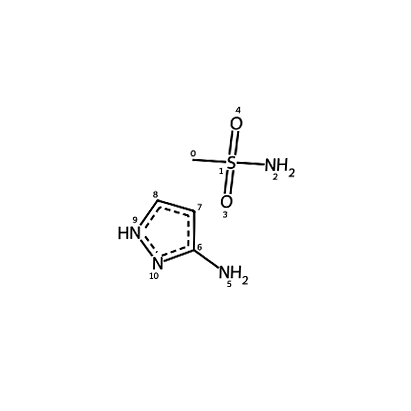 CS(N)(=O)=O.Nc1cc[nH]n1